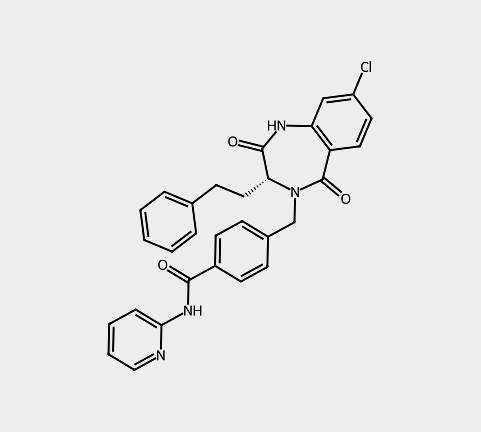 O=C(Nc1ccccn1)c1ccc(CN2C(=O)c3ccc(Cl)cc3NC(=O)[C@H]2CCc2ccccc2)cc1